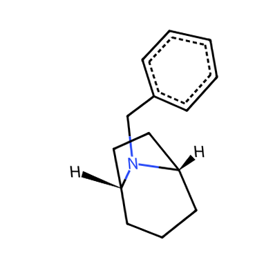 c1ccc(CN2[C@@H]3CCC[C@H]2CC3)cc1